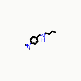 CCCCNCc1ccc(N(C)C)cc1